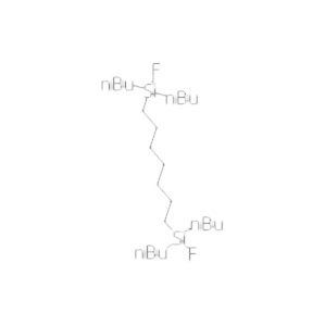 CCCC[Si](F)(CCCC)CCCCCCC[Si](F)(CCCC)CCCC